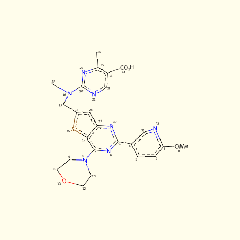 COc1ccc(-c2nc(N3CCOCC3)c3sc(CN(C)c4ncc(C(=O)O)c(C)n4)cc3n2)cn1